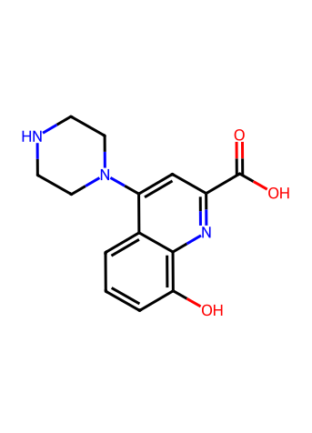 O=C(O)c1cc(N2CCNCC2)c2cccc(O)c2n1